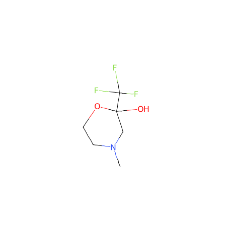 CN1CCOC(O)(C(F)(F)F)C1